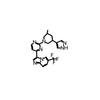 CC1CC(c2cn[nH]c2)CN(c2nccc(-c3cnc4ccc(C(F)(F)F)cn34)n2)C1